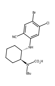 CC(C)(C)N(C(=O)O)[C@H]1CCCC[C@@H]1Nc1cc(Cl)c(Br)cc1C#N